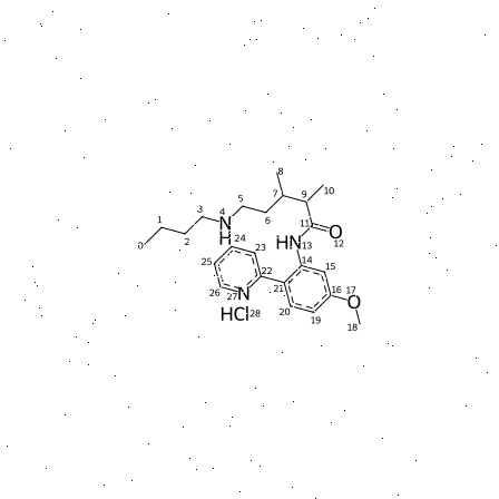 CCCCNCCC(C)C(C)C(=O)Nc1cc(OC)ccc1-c1ccccn1.Cl